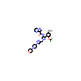 CSC1=CC=C(OC(F)F)C(c2nn(Cc3cn(C4CCN(C5CCOCC5)CC4)nn3)cc2NC(=O)c2cnn3cccnc23)C1